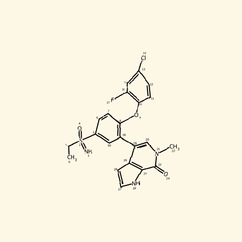 CCS(=N)(=O)c1ccc(Oc2ccc(Cl)cc2F)c(-c2cn(C)c(=O)c3[nH]ccc23)c1